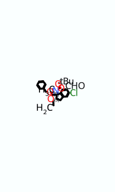 C=CC[C@H]1Cc2cc(Cl)c(C=O)cc2[C@]1(C(=O)OCc1ccccc1)N(C)C(=O)OC(C)(C)C